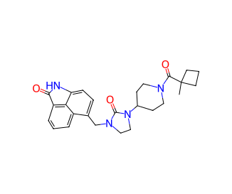 CC1(C(=O)N2CCC(N3CCN(Cc4ccc5c6c(cccc46)C(=O)N5)C3=O)CC2)CCC1